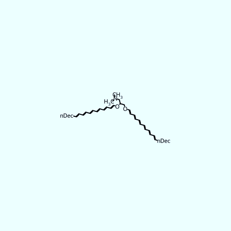 CCCCCCCCCCC=CC=CC=CC=CC=CC=COCC(CN(C)C)OC=CC=CC=CC=CC=CC=CCCCCCCCCCC